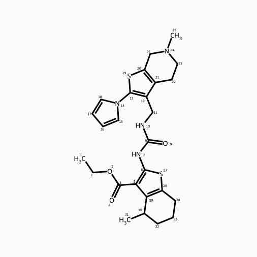 CCOC(=O)c1c(NC(=O)NCc2c(-n3cccc3)sc3c2CCN(C)C3)sc2c1C(C)CCC2